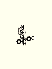 Cn1cnc(S(=O)(=O)N2C[C@@H](Nc3ccc(Cl)cc3)[C@H](c3ccccc3F)C2)c1